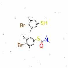 Cc1cc(S)cc(C)c1Br.Cc1cc(SC(=O)N(C)C)cc(C)c1Br